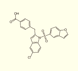 O=C(O)c1ccc(Cc2cc3cc(Cl)ccc3n2S(=O)(=O)c2ccc3occc3c2)cc1